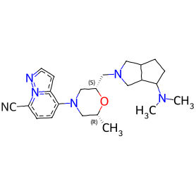 C[C@@H]1CN(c2ccc(C#N)n3nccc23)C[C@H](CN2CC3CCC(N(C)C)C3C2)O1